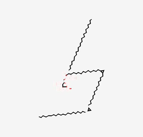 CCCCCCCCCCCCCCCCCCCCCCCC[C@@H](C(=O)OC[C@H]1O[C@H](OC)[C@@H](O)[C@@H]1O)[C@H](O)CCCCCCCCCCCC1CC1CCCCCCCCCCCCCC[C@H]1C[C@H]1CCCCCCCCCCCCCCCCCCCC